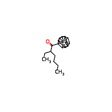 CCCCC(CC)C(=O)[C]12[CH]3[CH]4[CH]5[CH]1[Fe]45321678[CH]2[CH]1[CH]6[CH]7[CH]28